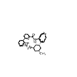 C[C@@H]1C[C@@H](N)C[C@H](c2ccncc2NC(=O)c2cccc(-c3ccccc3F)n2)C1